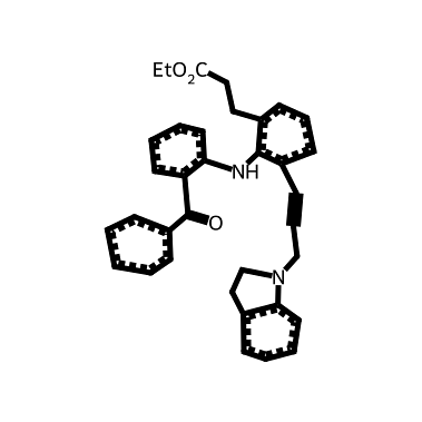 CCOC(=O)CCc1cccc(C#CCN2CCc3ccccc32)c1Nc1ccccc1C(=O)c1ccccc1